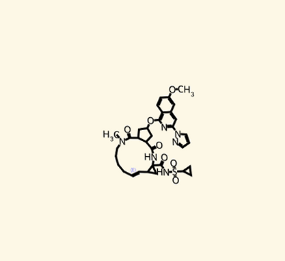 COc1ccc2c(OC3CC4C(=O)NC5(C(=O)NS(=O)(=O)C6CC6)CC5/C=C/CCCCN(C)C(=O)C4C3)nc(-n3cccn3)cc2c1